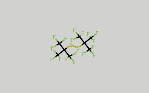 FC(F)(F)C(SSC(C(F)(F)F)(C(F)(F)F)C(F)(F)F)(C(F)(F)F)C(F)(F)F